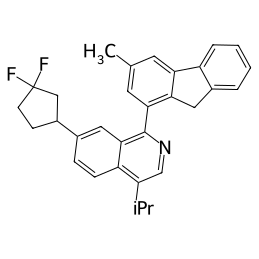 Cc1cc2c(c(-c3ncc(C(C)C)c4ccc(C5CCC(F)(F)C5)cc34)c1)Cc1ccccc1-2